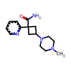 CN1CCN(C2CC(C(N)=O)(c3ccccn3)C2)CC1